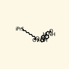 CC(C)SCCCCCCCCC(=O)OC(C)[C@H]1CC[C@H]2[C@@H]3CCC4NC(=O)CC[C@]4(C)[C@H]3CC[C@]12C